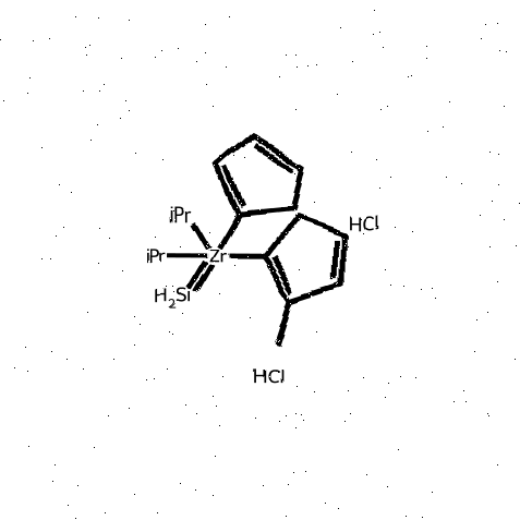 CC1=[C]([Zr](=[SiH2])([C]2=CC=CC2)([CH](C)C)[CH](C)C)CC=C1.Cl.Cl